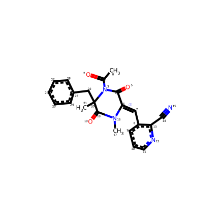 CC(=O)N1C(=O)/C(=C/c2cccnc2C#N)N(C)C(=O)C1(C)Cc1ccccc1